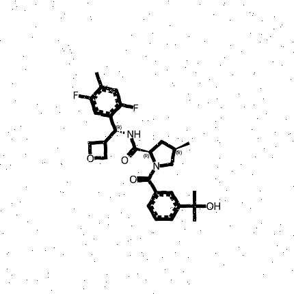 Cc1cc(F)c([C@H](NC(=O)[C@H]2C[C@@H](C)CN2C(=O)c2cccc(C(C)(C)O)c2)C2COC2)cc1F